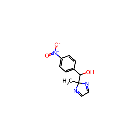 CC1(C(O)c2ccc([N+](=O)[O-])cc2)N=CC=N1